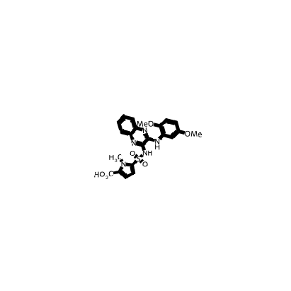 COc1ccc(OC)c(Nc2nc3ccccc3nc2NS(=O)(=O)c2ccc(C(=O)O)n2C)c1